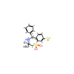 CCCC[C@]1(CC)CS(=O)(=O)c2cc(S)ccc2[C@H](c2ccccc2)N1